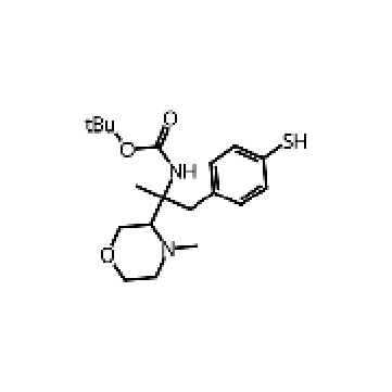 CN1CCOCC1C(C)(Cc1ccc(S)cc1)NC(=O)OC(C)(C)C